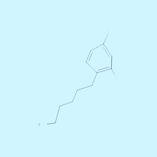 CCCCCCc1ccc(Cl)cc1F